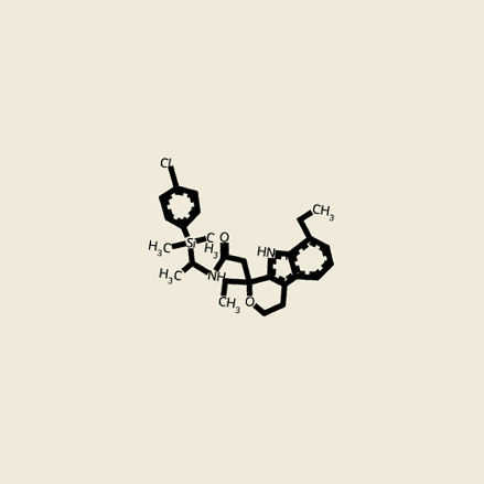 CCc1cccc2c3c([nH]c12)C(CC)(CC(=O)NC(C)[Si](C)(C)c1ccc(Cl)cc1)OCC3